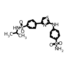 CC(C)NS(=O)(=O)c1ccc(-c2csc(Nc3ccc(S(N)(=O)=O)cc3)n2)cc1